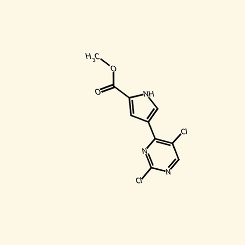 COC(=O)c1cc(-c2nc(Cl)ncc2Cl)c[nH]1